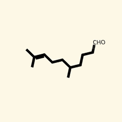 CC(C)=CCCC(C)CCCC=O